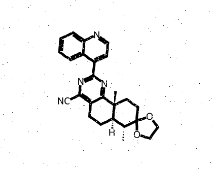 C[C@@H]1[C@H]2CCc3c(C#N)nc(-c4ccnc5ccccc45)nc3[C@]2(C)CCC12OCCO2